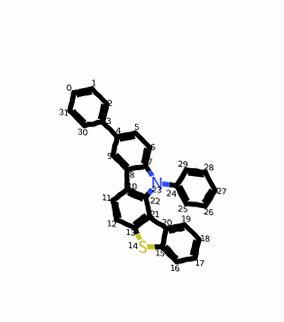 c1ccc(-c2ccc3c(c2)c2ccc4sc5ccccc5c4c2n3-c2ccccc2)cc1